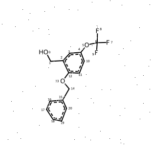 OCc1cc(OC(F)(F)F)ccc1OCc1ccccc1